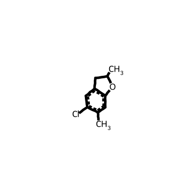 Cc1cc2c(cc1Cl)CC(C)O2